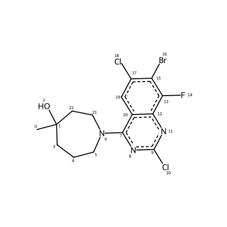 CC1(O)CCCN(c2nc(Cl)nc3c(F)c(Br)c(Cl)cc23)CC1